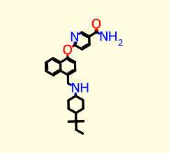 CCC(C)(C)C1CCC(NCc2ccc(Oc3ccc(C(N)=O)cn3)c3ccccc23)CC1